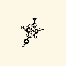 CC(C)(C)[C@@H](C(=O)N1C[C@H](O)C[C@H]1C(=O)NCC(OCC1CC1)c1ccc(Cl)cc1)n1cc(C2CC2)nn1